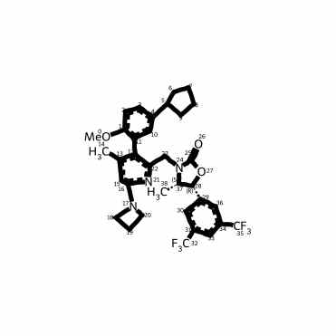 COc1ccc(C2CCCC2)cc1-c1c(C)cc(N2CCC2)nc1CN1C(=O)O[C@H](c2cc(C(F)(F)F)cc(C(F)(F)F)c2)[C@@H]1C